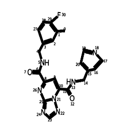 Cc1cc(CNC(=O)c2cc(C(=O)NCc3ccncc3)n3ncnc3n2)ccc1F